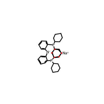 [Na+].c1ccc(P(C2CCCCC2)C2CCCCC2)c([N-]c2ccccc2P(C2CCCCC2)C2CCCCC2)c1